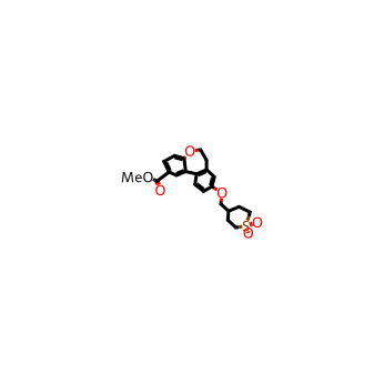 COC(=O)c1ccc2c(c1)-c1ccc(OCC3CCS(=O)(=O)CC3)cc1CCO2